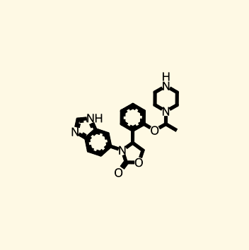 CC(Oc1ccccc1C1COC(=O)N1c1ccc2nc[nH]c2c1)N1CCNCC1